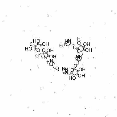 CCn1cc(CO[C@H]2OC(Cn3cc(CO[C@H]4O[C@H](Cn5cc(COCc6cn(C[C@H]7OC(CCl)(OC8O[C@H](CO)[C@H](Cl)[C@H](O)[C@H]8O)[C@@H](O)[C@@H]7O)nn6)nn5)[C@@H](O)[C@H](O)[C@@H]4O)nn3)[C@@H](O)[C@H](O)[C@@H]2O)nn1